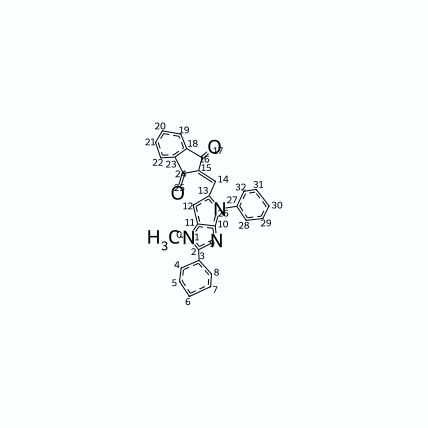 Cn1c(-c2ccccc2)nc2c1cc(C=C1C(=O)c3ccccc3C1=O)n2-c1ccccc1